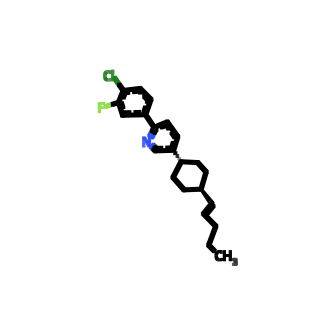 CCC/C=C/[C@H]1CC[C@H](c2ccc(-c3ccc(Cl)c(F)c3)nc2)CC1